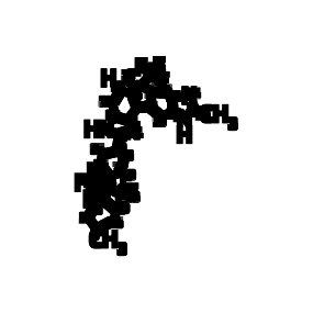 Cc1ccc(C(c2ccc(-c3nc4cc(C(C)(c5ccc6[nH]c(C)nc6c5)C(F)(F)F)ccc4[nH]3)cc2)(C(F)(F)F)C(F)(F)F)cc1